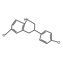 Clc1ccc(C2CNc3ccc(Cl)cc3C2)cc1